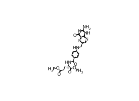 Nc1nc(=O)c2nc(CNc3ccc(C(=O)N[C@@H](CCC(=O)OP)C(=O)OP)cc3)cnc2[nH]1